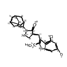 O=C(O)c1[nH]c2cc(Cl)cc(Cl)c2c1C=C1CNN(C2C3CC4CC(C3)CC2C4)C1=O